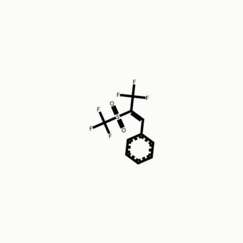 O=S(=O)(/C(=C\c1ccccc1)C(F)(F)F)C(F)(F)F